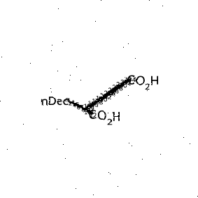 CCCCCCCCCCCC=CC=CC=CC=C(C=CC(=O)O)CCCCCCCCCC=CC=CC=CC=CC=CC=CC(=O)O